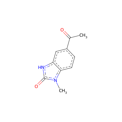 CC(=O)c1ccc2c(c1)[nH]c(=O)n2C